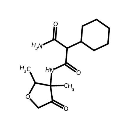 CC1OCC(=O)C1(C)NC(=O)C(C(N)=O)C1CCCCC1